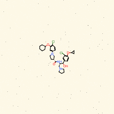 O=C(N[C@H](CN1CCCC1)[C@H](O)c1ccc(OC2CC2)c(Cl)c1)[C@@H]1CCN(c2ccc(Cl)c(OC3CCCCC3)c2)C1